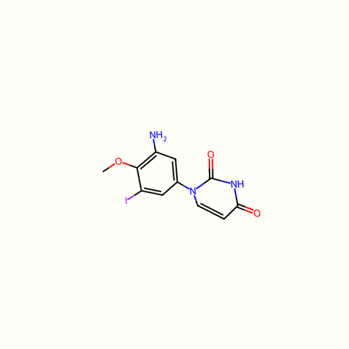 COc1c(N)cc(-n2ccc(=O)[nH]c2=O)cc1I